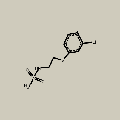 CS(=O)(=O)NCCSc1cc[c]c(Cl)c1